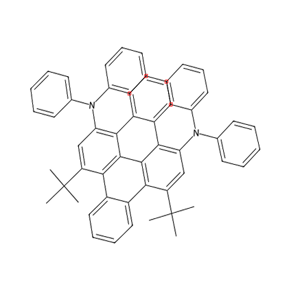 CC(C)(C)c1cc(N(c2ccccc2)c2ccccc2)c2c3ccccc3c3c(N(c4ccccc4)c4ccccc4)cc(C(C)(C)C)c4c5ccccc5c1c2c34